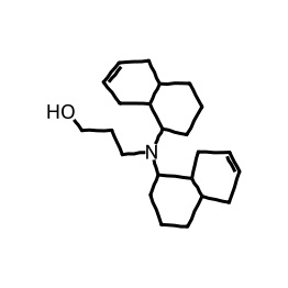 OCCCN(C1CCCC2CC=CCC21)C1CCCC2CC=CCC21